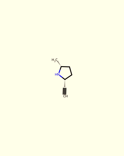 C#C[C@H]1CC[C@@H](C)N1